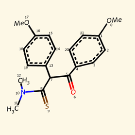 COc1ccc(C(=O)C(C(=S)N(C)C)c2ccc(OC)cc2)cc1